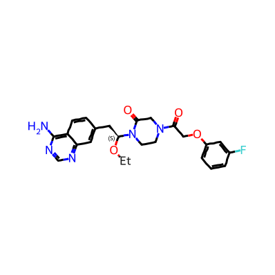 CCO[C@@H](Cc1ccc2c(N)ncnc2c1)N1CCN(C(=O)COc2cccc(F)c2)CC1=O